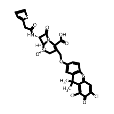 CC1(C)C2=C(Cl)C(=O)C(Cl)=CC2=Nc2ccc(OCC3=C(C(=O)O)N4C(=O)[C@@H](NC(=O)Cc5cccs5)[C@@H]4[S@@+]([O-])C3)cc21